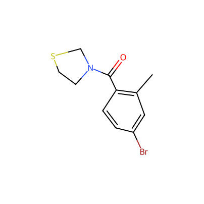 Cc1cc(Br)ccc1C(=O)N1CCSC1